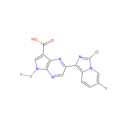 O=C(O)c1cn(SF)c2ncc(-c3nc(Cl)n4cc(F)ccc34)nc12